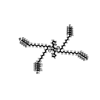 O=C1C2=C(c3cccs3)N(CC(CCCCCCCCCCC(F)(F)C(F)(F)C(F)(F)C(F)(F)F)CCCCCCCCCCC(F)(F)C(F)(F)C(F)(F)C(F)(F)F)C(=O)C2=C(c2cccs2)N1CC(CCCCCCCCCCC(F)(F)C(F)(F)C(F)(F)C(F)(F)F)CCCCCCCCCCC(F)(F)C(F)(F)C(F)(F)C(F)(F)F